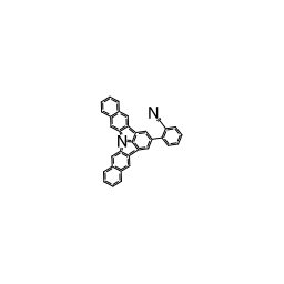 N#Cc1ccccc1-c1cc2c3cc4ccccc4cc3n3c4cc5ccccc5cc4c(c1)c23